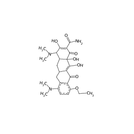 CCOc1ccc(N(C)C)c2c1C(=O)C1=C(O)C3(O)C(=O)C(C(N)=O)=C(O)C(N(C)C)C3CC1C2